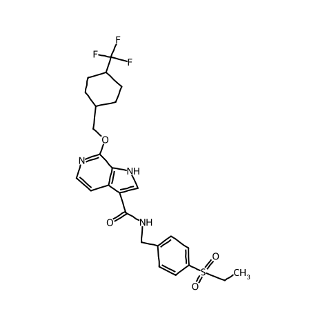 CCS(=O)(=O)c1ccc(CNC(=O)c2c[nH]c3c(OCC4CCC(C(F)(F)F)CC4)nccc23)cc1